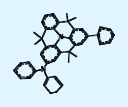 CC1(C)c2cccc3c2N2c4c1cc(-c1ccccc1)cc4C(C)(C)c1cc(N(C4=CCCC=C4)c4ccccc4)cc(c12)C3(C)C